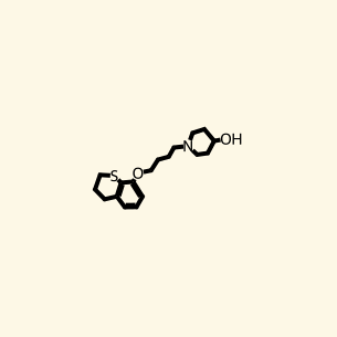 OC1CCN(CCCCOc2cccc3c2SCCC3)CC1